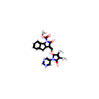 CC1=C(C)C(O/C=C2/C(=O)N(C(=O)OC(C)(C)C)C3c4ccccc4CC23)N(c2cncnc2)C1=O